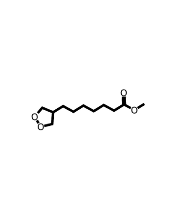 COC(=O)CCCCCCC1COOC1